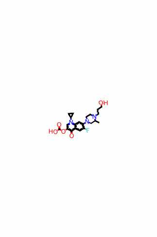 CC1CN(c2cc3c(cc2F)c(=O)c(OC(=O)O)cn3C2CC2)CCN1CCCO